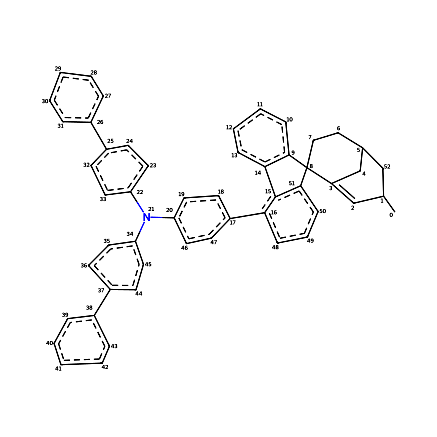 CC1C=C2CC(CCC23c2ccccc2-c2c(-c4ccc(N(c5ccc(-c6ccccc6)cc5)c5ccc(-c6ccccc6)cc5)cc4)cccc23)C1